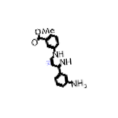 COC(=O)c1cccc(N/C=C\C(=N)c2cccc(N)c2)c1